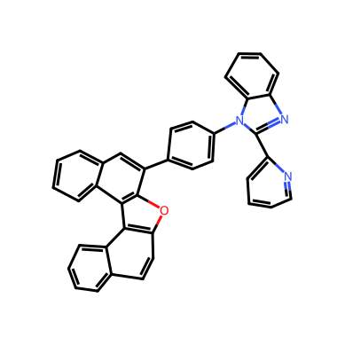 c1ccc(-c2nc3ccccc3n2-c2ccc(-c3cc4ccccc4c4c3oc3ccc5ccccc5c34)cc2)nc1